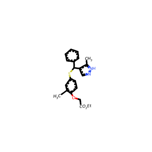 CCOC(=O)COc1ccc(SC(c2ccccc2)c2cn[nH]c2C)cc1C